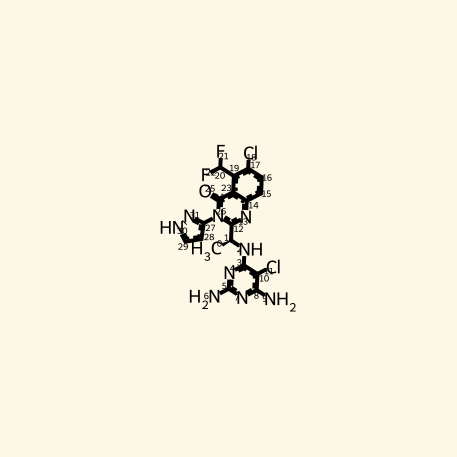 C[C@H](Nc1nc(N)nc(N)c1Cl)c1nc2ccc(Cl)c(C(F)F)c2c(=O)n1-c1cc[nH]n1